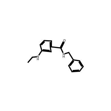 CCNc1cccc(C(=O)NCc2ccccc2)c1